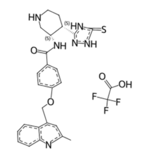 Cc1cc(COc2ccc(C(=O)N[C@@H]3CNCC[C@@H]3c3n[nH]c(=S)[nH]3)cc2)c2ccccc2n1.O=C(O)C(F)(F)F